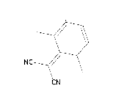 CC1=[C]C=CC(C)C1=C(C#N)C#N